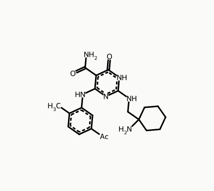 CC(=O)c1ccc(C)c(Nc2nc(NCC3(N)CCCCC3)[nH]c(=O)c2C(N)=O)c1